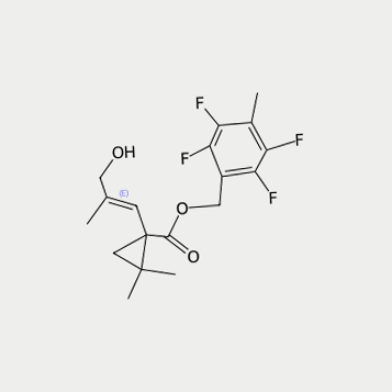 C/C(=C\C1(C(=O)OCc2c(F)c(F)c(C)c(F)c2F)CC1(C)C)CO